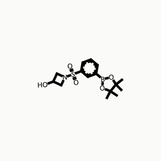 CC1(C)OB(c2cccc(S(=O)(=O)N3CC(O)C3)c2)OC1(C)C